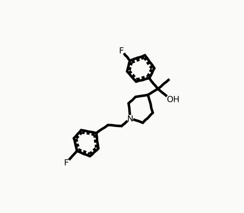 CC(O)(c1ccc(F)cc1)C1CCN(CCc2ccc(F)cc2)CC1